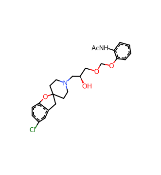 CC(=O)Nc1ccccc1OCOC[C@@H](O)CN1CCC2(CC1)Cc1cc(Cl)ccc1O2